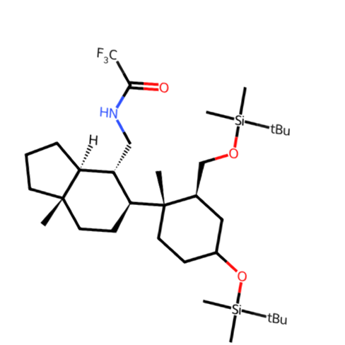 CC(C)(C)[Si](C)(C)OC[C@H]1CC(O[Si](C)(C)C(C)(C)C)CC[C@]1(C)[C@H]1CC[C@]2(C)CCC[C@H]2[C@@H]1CNC(=O)C(F)(F)F